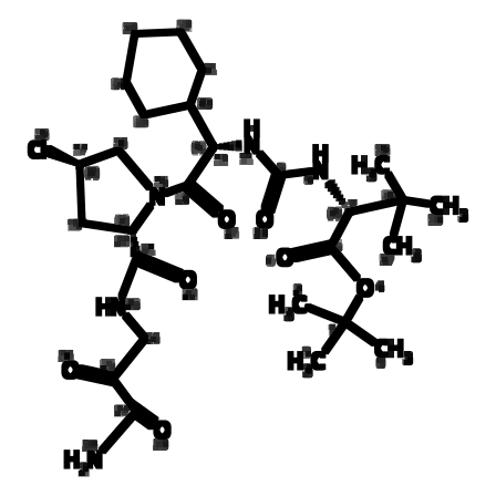 CC(C)(C)OC(=O)[C@H](NC(=O)N[C@H](C(=O)N1C[C@H](Cl)C[C@H]1C(=O)NCC(=O)C(N)=O)C1CCCCC1)C(C)(C)C